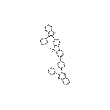 CC1(C)c2cc(-c3ccc(-c4nc5ccccc5nc4-c4ccccc4)cc3)ccc2-c2ccc(-c3nc4ccccc4n3-c3ccccc3)cc21